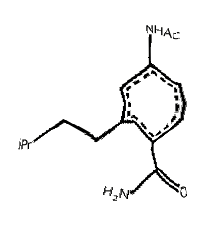 CC(=O)Nc1ccc(C(N)=O)c(CCC(C)C)c1